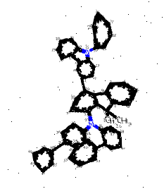 CC1(C)c2ccccc2-c2c(-c3ccc4c(c3)c3ccccc3n4-c3ccccc3)ccc(N(c3ccc(-c4ccccc4)cc3)c3ccccc3-c3ccccc3)c21